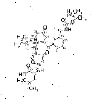 CC(C)C[C@H](NC(=O)CC1OC(c2cccc(CNC(=O)OC(C)(C)C)c2)c2cc(Cl)ccc2N(CC(C)(C)C)C1=O)C(=O)O